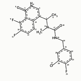 CC(c1c[nH]c(=O)c2c(F)c(F)ccc12)N(C)C(=O)NCc1ccc(F)c(Cl)c1